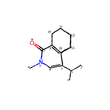 CC(C)c1cn(C)c(=O)c2c1CCCC2